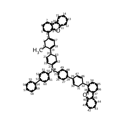 CC1CC(c2cccc3c2oc2ccccc23)=CC=C1C1C=CC(N(c2ccc(C3=CCC(c4cccc5c4oc4ccccc45)C=C3)cc2)c2ccc(-c3ccccc3)cc2)=CC1